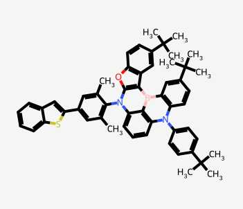 Cc1cc(-c2cc3ccccc3s2)cc(C)c1N1c2cccc3c2B(c2cc(C(C)(C)C)ccc2N3c2ccc(C(C)(C)C)cc2)c2c1oc1ccc(C(C)(C)C)cc21